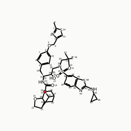 Cc1nc(COc2ccc(C[C@H](NC(=O)OC3C4COC5OCC3C5C4)[C@H](O)CN(CC(C)(C)F)S(=O)(=O)c3ccc4nc(NC5CC5)sc4c3)cc2)cs1